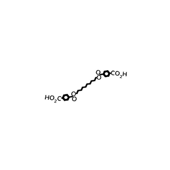 O=C(O)c1ccc(C(=O)OCCCCCCCCCCOC(=O)c2ccc(C(=O)O)cc2)cc1